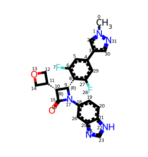 Cn1cc(-c2cc(F)c([C@H]3[C@@H](C4COC4)C(=O)N3c3ccc4[nH]cnc4c3)c(F)c2)cn1